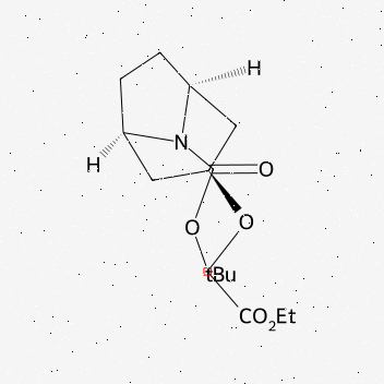 CCOC(=O)CO[C@H]1C[C@H]2CC[C@@H](C1)N2C(=O)OC(C)(C)C